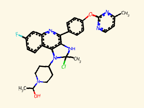 Cc1ccnc(Oc2ccc(-c3nc4cc(F)ccc4c4c3NC(C)(Cl)N4C3CCN(C(C)O)CC3)cc2)n1